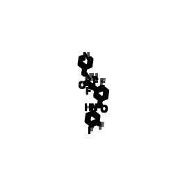 O=C(Nc1ccc(F)c(F)c1)c1ccc(F)c(C(F)(F)C(=O)NCc2ccncc2)c1